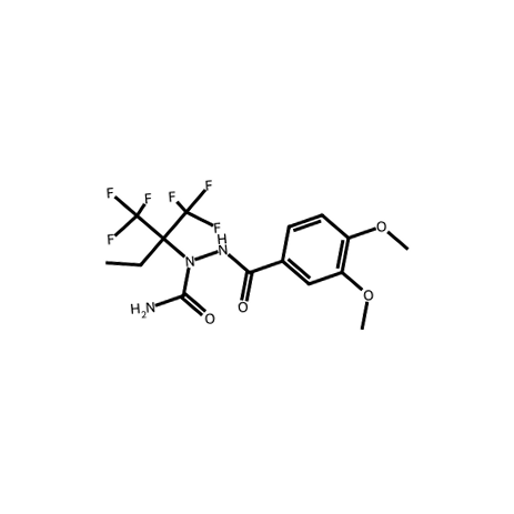 CCC(N(NC(=O)c1ccc(OC)c(OC)c1)C(N)=O)(C(F)(F)F)C(F)(F)F